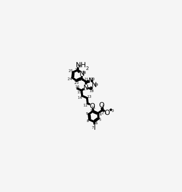 COC(=O)c1cc(I)ccc1OCCCC(C)n1cnnc1-c1cccc(N)n1